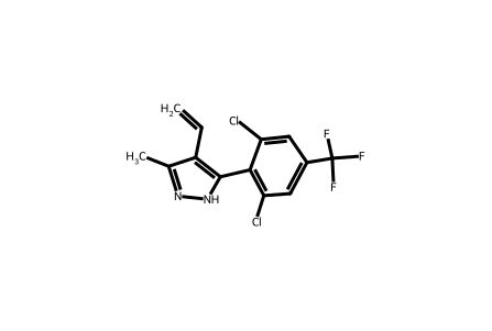 C=Cc1c(C)n[nH]c1-c1c(Cl)cc(C(F)(F)F)cc1Cl